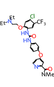 CCN(CC)CCOc1cc(Cl)c(C(F)(F)F)cc1NC(=O)Nc1ccc(Oc2ccnc(C(=O)NC)c2)cc1